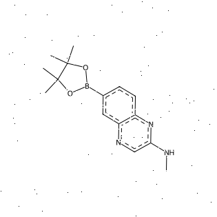 CNc1cnc2cc(B3OC(C)(C)C(C)(C)O3)ccc2n1